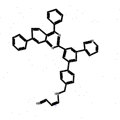 N=C/C=C\NCc1ccc(-c2cc(-c3cccnc3)cc(-c3nc(-c4ccccc4)c4ccc(-c5ccccc5)cc4n3)c2)cc1